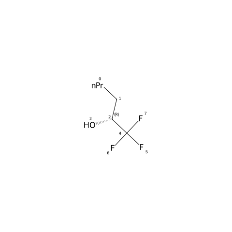 CCCC[C@@H](O)C(F)(F)F